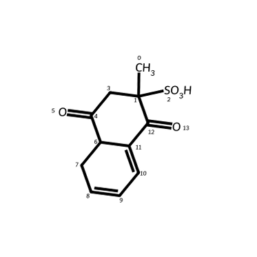 CC1(S(=O)(=O)O)CC(=O)C2CC=CC=C2C1=O